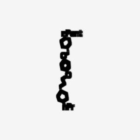 CCCCC[C@H]1CC[C@H](COc2ccc(OCCC[C@H]3CC[C@H](CCC)CC3)cc2)CC1